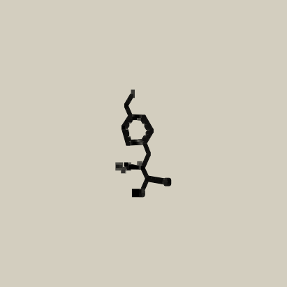 N[C@@H](Cc1ccc(CI)cc1)C(=O)O